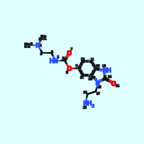 CCN(CC)CCNC(=O)Oc1ccc2[nH]c(=O)n(CCN)c2c1